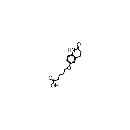 O=C(O)CCCCOc1ccc2c(c1)CCC(=O)N2